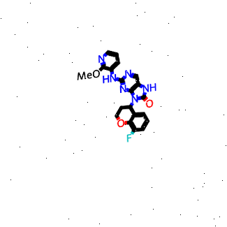 COc1ncccc1Nc1ncc2[nH]c(=O)n(C3CCOc4c(F)cccc43)c2n1